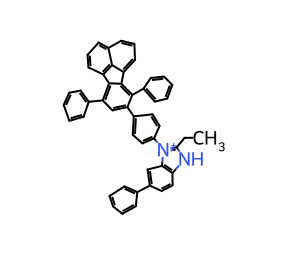 CCc1[nH]c2ccc(-c3ccccc3)cc2[n+]1-c1ccc(-c2cc(-c3ccccc3)c3c(c2-c2ccccc2)-c2cccc4cccc-3c24)cc1